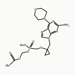 [CH2]OP(=O)(COC1(Cn2cnc3c(N4CCOCC4)nc(N)nc32)CC1)OCOC(=O)C(C)(C)C